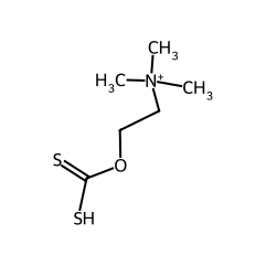 C[N+](C)(C)CCOC(=S)S